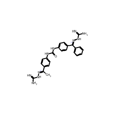 C/C(=N\NC(=N)N)c1ccc(NC(=O)Nc2ccc(/C(=N/NC(=N)N)c3ccccc3)cc2)cc1